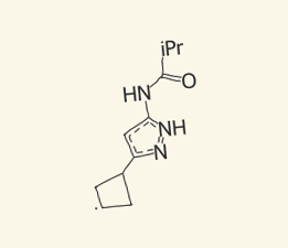 CC(C)C(=O)Nc1cc(C2C[CH]C2)n[nH]1